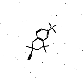 C#CC1(C)CC(C)(C)c2cc([Si](C)(C)C)ccc2S1